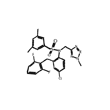 Cc1cc(C)cc(S(=O)(=O)N(Cc2nnn(C)n2)c2ccc(Cl)cc2Cc2c(F)cccc2F)c1